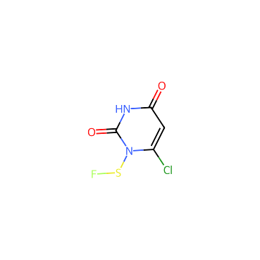 O=c1cc(Cl)n(SF)c(=O)[nH]1